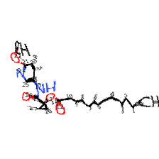 CCCCCCCCCCCC(=O)OC1(C(=O)Nc2ccc(OC)nc2)CC1